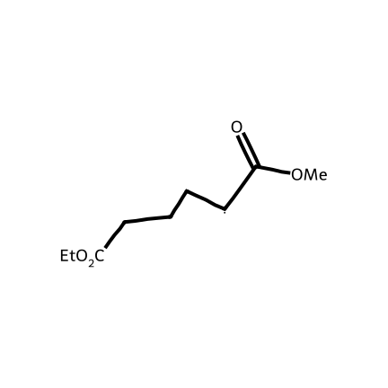 CCOC(=O)CCC[CH]C(=O)OC